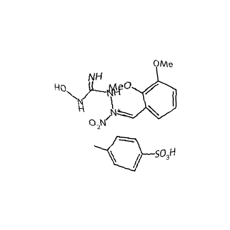 COc1cccc(C=[N+](NC(=N)NO)[N+](=O)[O-])c1OC.Cc1ccc(S(=O)(=O)O)cc1